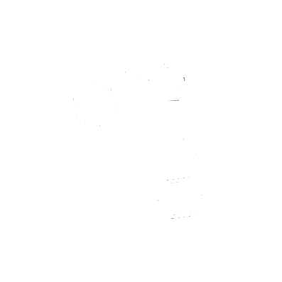 Br.O=C1N=C(NC2CCCCC2)SC1CCNc1ccccc1